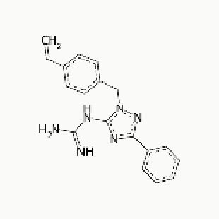 C=Cc1ccc(Cn2nc(-c3ccccc3)nc2NC(=N)N)cc1